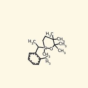 Cc1ccccc1C(C)[Si]1(C)CCC(C)(C)C(C)(C)O1